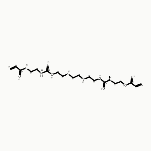 C=CC(=O)OCCNC(=O)OCCSCCSCCOC(=O)NCCOC(=O)C=C